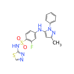 Cc1cc(Nc2ccc(S(=O)(=O)Nc3nncs3)c(F)c2)n(-c2ccccc2)n1